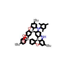 Cc1cc(C)c(N2c3cc4c(cc3B3c5cc6c(cc5Oc5cc(C(C)(C)C)cc2c53)Oc2cc(C(C)(C)C)cc3c2B6c2ccccc2O3)B2c3ccccc3Oc3cc(C(C)(C)C)cc(c32)N4)c(C)c1